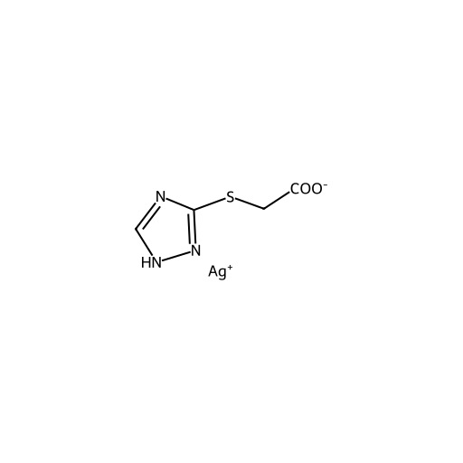 O=C([O-])CSc1nc[nH]n1.[Ag+]